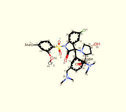 COc1ccc(S(=O)(=O)N2C(=O)C(c3cc(CN(C)C)ccc3OC)(N3C[C@H](O)C[C@H]3C(=O)N(C)C)c3cc(Cl)ccc32)c(OC(F)(F)F)c1